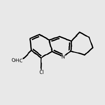 O=Cc1ccc2cc3c(nc2c1Cl)CCCC3